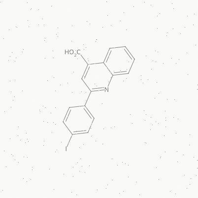 O=C(O)c1cc(-c2ccc(I)cc2)nc2ccccc12